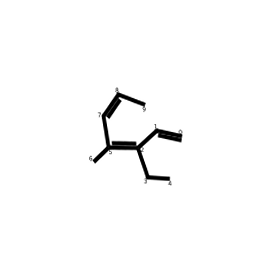 C=C/C(CC)=C(C)\C=C/C